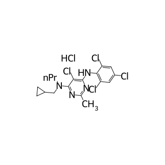 CCCN(CC1CC1)c1nc(C)nc(Nc2c(Cl)cc(Cl)cc2Cl)c1Cl.Cl